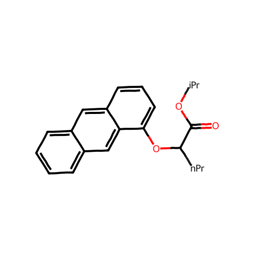 CCCC(Oc1cccc2cc3ccccc3cc12)C(=O)OC(C)C